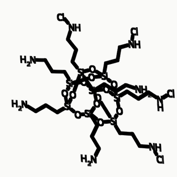 NCCC[Si]12O[Si]3(CCCN)O[Si]4(CCCN)O[Si](CCCN)(O1)O[Si]1(CCCNCl)O[Si](CCCNCl)(O2)O[Si](CCCNCl)(O3)O[Si](CCCNCl)(O4)O1